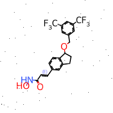 O=C(/C=C/c1ccc2c(c1)CCC2OCc1cc(C(F)(F)F)cc(C(F)(F)F)c1)NO